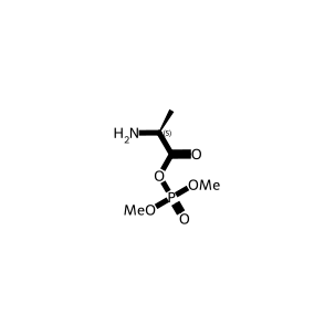 COP(=O)(OC)OC(=O)[C@H](C)N